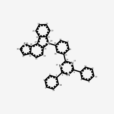 c1ccc(-c2nc(-c3ccccc3)nc(-c3cccc(-n4c5ccccc5c5c6sccc6ccc54)c3)n2)cc1